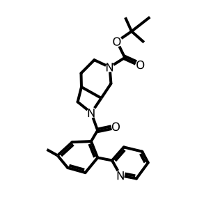 Cc1ccc(-c2ccccn2)c(C(=O)N2CC3CCN(C(=O)OC(C)(C)C)CC32)c1